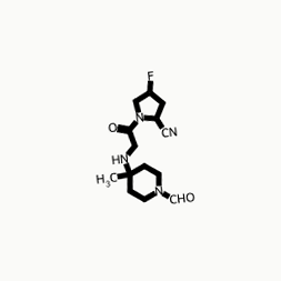 CC1(NCC(=O)N2CC(F)CC2C#N)CCN(C=O)CC1